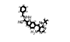 CC(C)(C)n1nc(-c2ccc3cc(C(O)NCc4ccccc4)[nH]c3c2)c2c(N)ncnc21